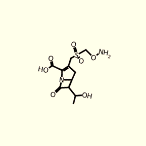 CC(O)C1C(=O)N2C(C(=O)O)=C(CS(=O)(=O)CON)CC12